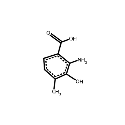 Cc1ccc(C(=O)O)c(N)c1O